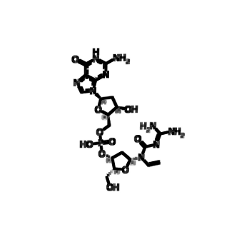 C=CN(C(=O)N=C(N)N)[C@H]1C[C@@H](OP(=O)(O)OC[C@H]2O[C@@H](n3cnc4c(=O)[nH]c(N)nc43)C[C@H]2O)[C@@H](CO)O1